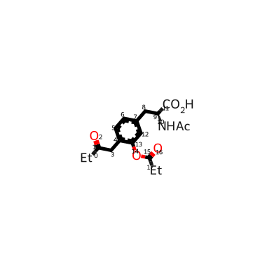 CCC(=O)Cc1ccc(C[C@H](NC(C)=O)C(=O)O)cc1OC(=O)CC